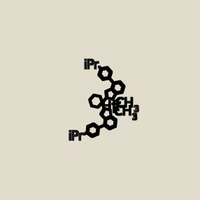 CC(C)c1ccc(-c2cccc3c2C=C2[CH]3[Hf]([CH3])([CH3])[CH]3C(=Cc4c(-c5ccc(C(C)C)cc5)cccc43)C23CCCCC3)cc1